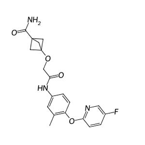 Cc1cc(NC(=O)COC23CC(C(N)=O)(C2)C3)ccc1Oc1ccc(F)cn1